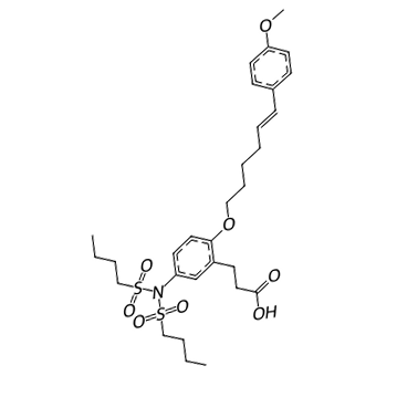 CCCCS(=O)(=O)N(c1ccc(OCCCC/C=C/c2ccc(OC)cc2)c(CCC(=O)O)c1)S(=O)(=O)CCCC